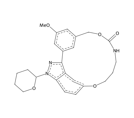 COc1cc2cc(c1)-c1nn(C3CCCCO3)c3ccc(cc13)OCCCNC(=O)OC2